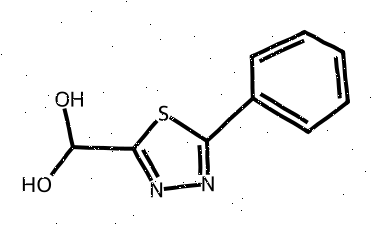 OC(O)c1nnc(-c2ccccc2)s1